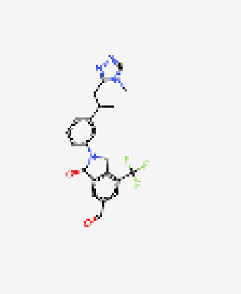 C[C@H](Cc1nncn1C)c1cccc(N2Cc3c(cc(C=O)cc3C(F)(F)F)C2=O)c1